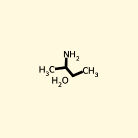 CCC(C)N.O